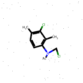 CC(=O)N(CCl)c1ccc(C)c(Cl)c1C